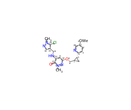 COc1ccc([C@@H]2CC2COc2cc(NCc3cnn(C)c3Cl)c(=O)n(C)n2)nc1